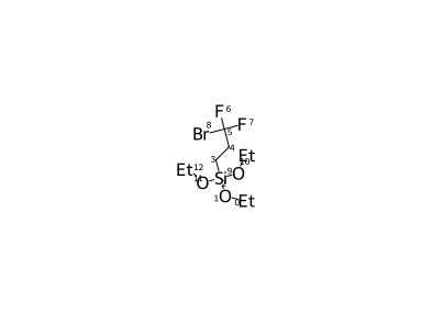 CCO[Si](CCC(F)(F)Br)(OCC)OCC